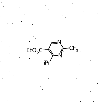 CCOC(=O)c1cnc(C(F)(F)F)nc1C(C)C